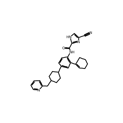 N#Cc1c[nH]c(C(=O)Nc2ccc(C3CCC(Cc4ccccn4)CC3)cc2C2=CCCCC2)n1